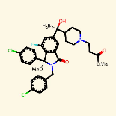 B[C@@](O)(c1cc(F)c2c(c1)C(=O)N(Cc1ccc(Cl)cc1)[C@@]2(OC)c1ccc(Cl)cc1)C1CCN(CCC(=O)OC)CC1